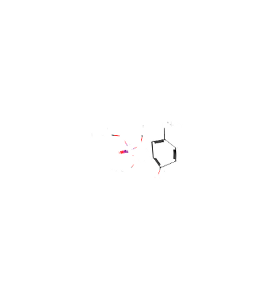 CCCCCCCCCc1ccc(O)cc1.CCCCCCCCOP(=O)(OCCCCCCCC)OCCCCCCCC